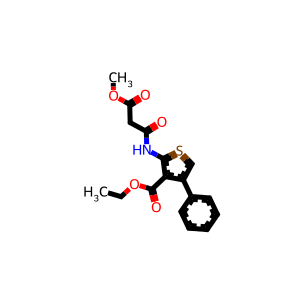 CCOC(=O)c1c(-c2ccccc2)csc1NC(=O)CC(=O)OC